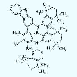 Bc1c(B)c2c3c(c1B)N(c1ccc4c(c1)C(C)(C)CCC4(C)C)c1cc4c(cc1B3N(c1ccc3c(c1)C(C)(C)CCC3(C)C)c1cc3sc5ccccc5c3cc1-2)C(C)(C)CCC4(C)C